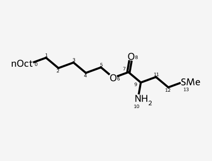 CCCCCCCCCCCCCOC(=O)C(N)CCSC